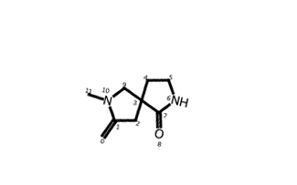 C=C1CC2(CCNC2=O)CN1C